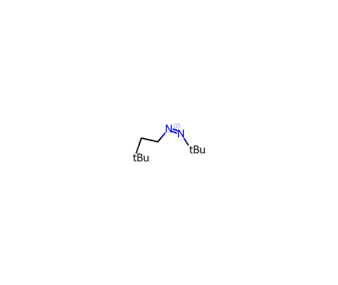 CC(C)(C)CC/N=N\C(C)(C)C